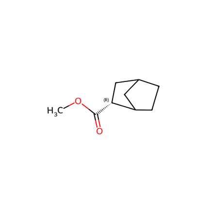 COC(=O)[C@@H]1CC2CCC1C2